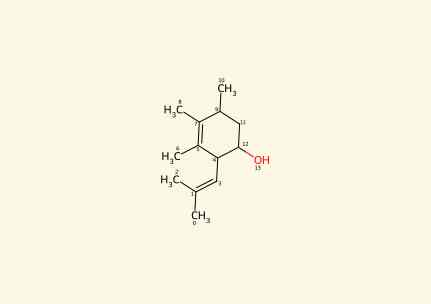 CC(C)=CC1C(C)=C(C)C(C)CC1O